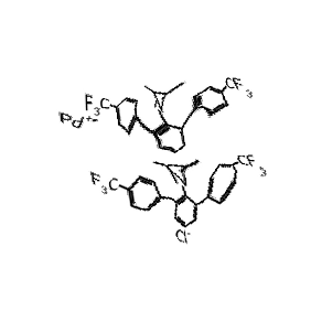 CC1C(C)N1c1c(-c2ccc(C(F)(F)F)cc2)cccc1-c1ccc(C(F)(F)F)cc1.CC1C(C)N1c1c(-c2ccc(C(F)(F)F)cc2)cccc1-c1ccc(C(F)(F)F)cc1.[CH3][Pd+].[Cl-]